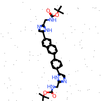 CC(C)(C)OC(=O)NCc1ncc(-c2ccc(-c3ccc4cc(-c5cnc(CNC(=O)OC(C)(C)C)[nH]5)ccc4c3)cc2)[nH]1